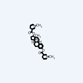 CN1C=CCC(C(=O)Oc2ccc3c(c2)CC[C@@H]2[C@@H]3CC[C@]3(C)[C@@H](OC(=O)C4=CN(C)C=CC4)CC[C@@H]23)=C1